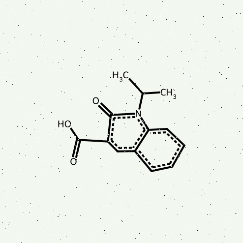 CC(C)n1c(=O)c(C(=O)O)cc2ccccc21